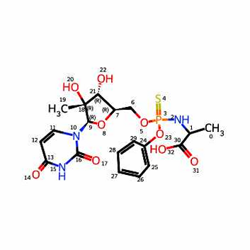 CC(NP(=S)(OC[C@H]1O[C@@H](n2ccc(=O)[nH]c2=O)[C@](C)(O)[C@@H]1O)Oc1ccccc1)C(=O)O